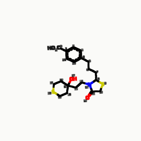 O=C(O)c1ccc(CCCC2SCC(=O)N2CCC2(O)CCSCC2)cc1